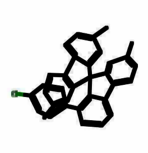 Cc1ccc2c(c1)C1(c3cc(C)ccc3-2)c2cc(C)ccc2-c2cccc(-c3ccc(Cl)cc3)c21